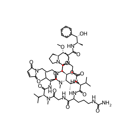 CC[C@H](C)[C@@H]([C@@H](CC(=O)N1CCC[C@H]1[C@H](OC)[C@@H](C)C(=O)N[C@H](C)[C@@H](O)c1ccccc1)OC)N(C)C(=O)[C@@H](NC(=O)[C@H](C(C)C)N(C)C(=O)CNC(=O)C(CCCNC(N)=O)NC(=O)[C@@H](NC(=O)CCN(CC)CCN(CC)CCCN1C(=O)C=CC1=O)C(C)C)C(C)C